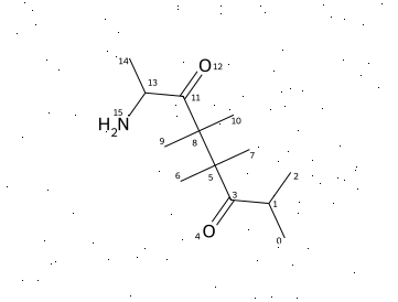 CC(C)C(=O)C(C)(C)C(C)(C)C(=O)C(C)N